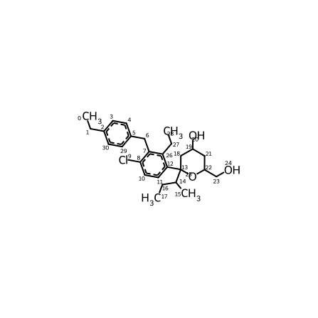 CCc1ccc(Cc2c(Cl)ccc(C3(C(C)CC)CC(O)CC(CO)O3)c2CC)cc1